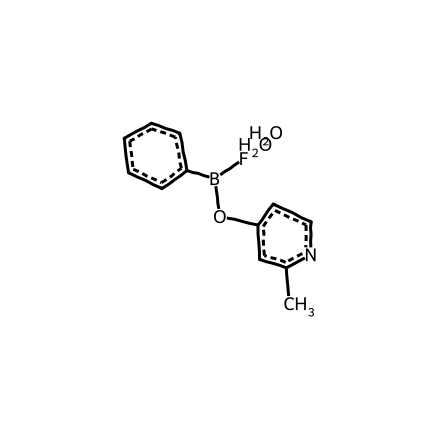 Cc1cc(OB(F)c2ccccc2)ccn1.O.O